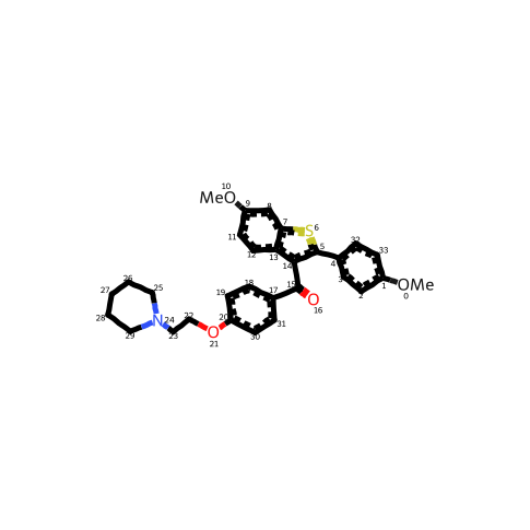 COc1ccc(-c2sc3cc(OC)ccc3c2C(=O)c2ccc(OCCN3CCCCC3)cc2)cc1